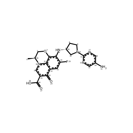 C[C@H]1COc2c(N[C@@H]3CCN(c4ncc(N)cn4)C3)c(F)cc3c(=O)c(C(=O)O)cn1c23